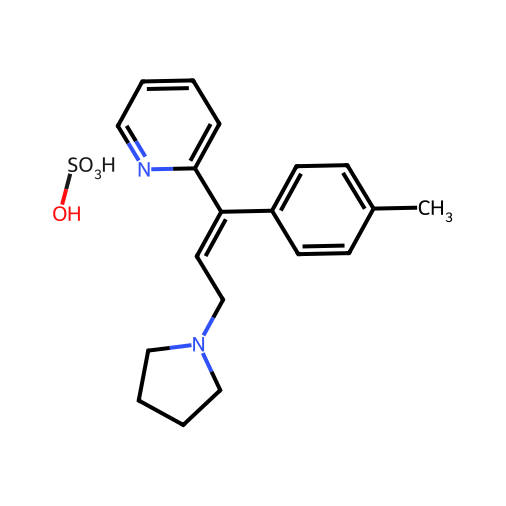 Cc1ccc(/C(=C\CN2CCCC2)c2ccccn2)cc1.O=S(=O)(O)O